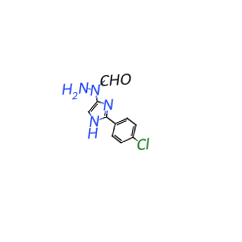 NN(C=O)c1c[nH]c(-c2ccc(Cl)cc2)n1